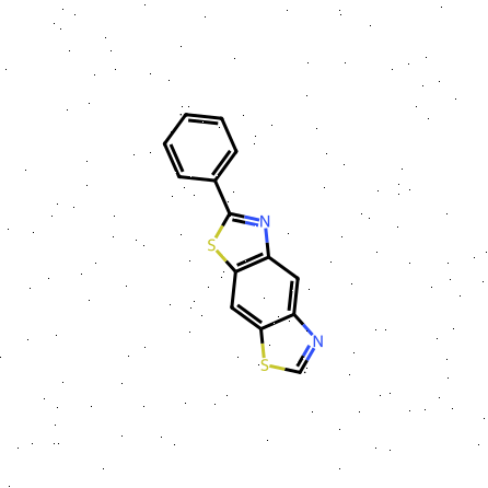 [c]1ccc(-c2nc3cc4n[c]sc4cc3s2)cc1